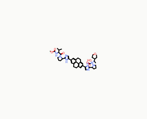 COC(=O)NC(C(=O)N1CCCC1c1ncc(-c2cc3c4c(c2)CCc2cc(-c5cnc(C6CCCN6[N+](O)(C(=O)[O-])C(C)C6CCOCC6)[nH]5)cc(c2-4)CC3)[nH]1)C(C)C